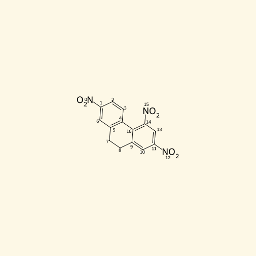 O=[N+]([O-])c1ccc2c(c1)CCc1cc([N+](=O)[O-])cc([N+](=O)[O-])c1-2